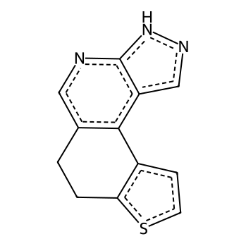 c1cc2c(s1)CCc1cnc3[nH]ncc3c1-2